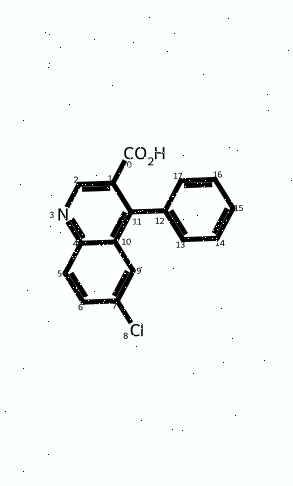 O=C(O)c1cnc2ccc(Cl)cc2c1-c1ccccc1